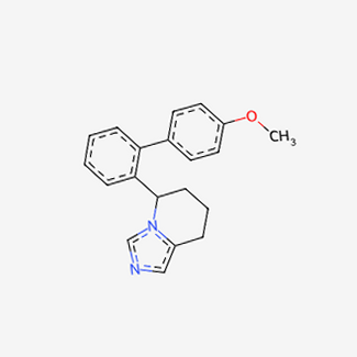 COc1ccc(-c2ccccc2C2CCCc3cncn32)cc1